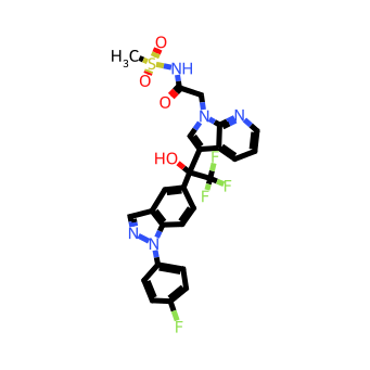 CS(=O)(=O)NC(=O)Cn1cc(C(O)(c2ccc3c(cnn3-c3ccc(F)cc3)c2)C(F)(F)F)c2cccnc21